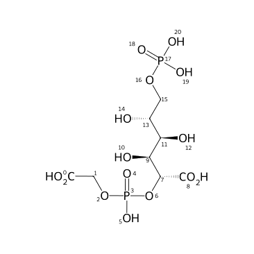 O=C(O)COP(=O)(O)O[C@@H](C(=O)O)[C@@H](O)[C@H](O)[C@H](O)COP(=O)(O)O